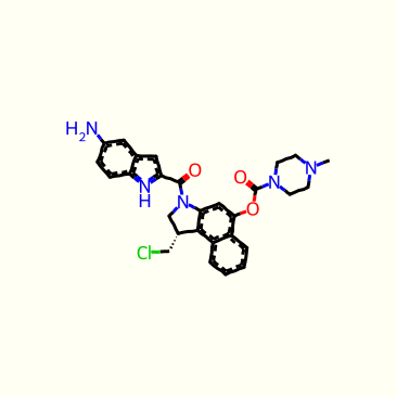 CN1CCN(C(=O)Oc2cc3c(c4ccccc24)[C@H](CCl)CN3C(=O)c2cc3cc(N)ccc3[nH]2)CC1